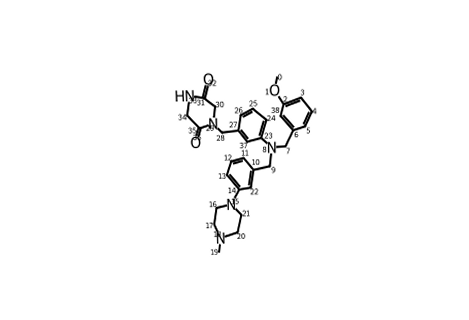 COc1cccc(CN(Cc2cccc(N3CCN(C)CC3)c2)c2cccc(CN3CC(=O)NCC3=O)c2)c1